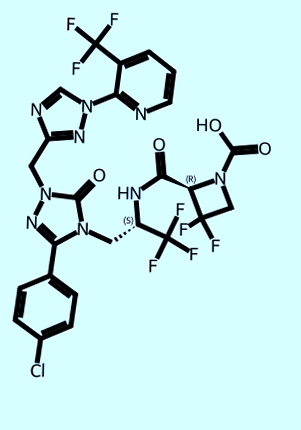 O=C(N[C@@H](Cn1c(-c2ccc(Cl)cc2)nn(Cc2ncn(-c3ncccc3C(F)(F)F)n2)c1=O)C(F)(F)F)[C@H]1N(C(=O)O)CC1(F)F